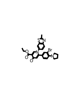 CCOC(=O)c1cn(-c2ccc3nc(C)sc3c2)c(-c2ccc(N3CCCC3)c(Br)c2)cc1=O